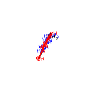 CN[C@@H](CCCCNC(=O)COCCOCCNC(=O)COCCOCCNC(=O)CCC(NC(=O)C1CCC(CNC(=O)CCCCCCCCCCCCCCCCCCC(=O)O)CC1)C(=O)O)C(=O)CN[C@H](Cc1ccc(O)cc1)C(N)=O